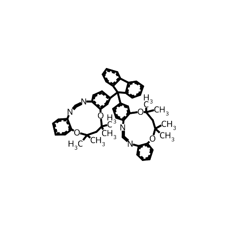 CC1(C)CC(C)(C)Oc2cc(C3(c4ccc5c(c4)OC(C)(C)CC(C)(C)Oc4ccccc4N=C=N5)c4ccccc4-c4ccccc43)ccc2N=C=Nc2ccccc2O1